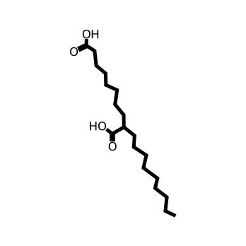 CCCCCCCCCC(CCCCCCCC(=O)O)C(=O)O